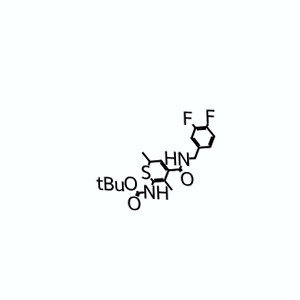 CC1=C(NC(=O)OC(C)(C)C)SC(C)C=C1C(=O)NCc1ccc(F)c(F)c1